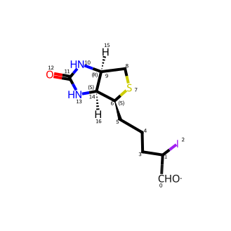 O=[C]C(I)CCC[C@@H]1SC[C@@H]2NC(=O)N[C@@H]21